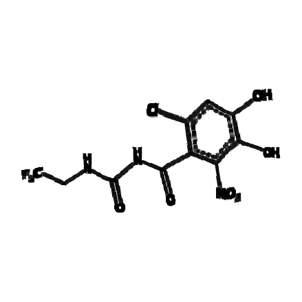 O=C(NCC(F)(F)F)NC(=O)c1c(Cl)cc(O)c(O)c1[N+](=O)[O-]